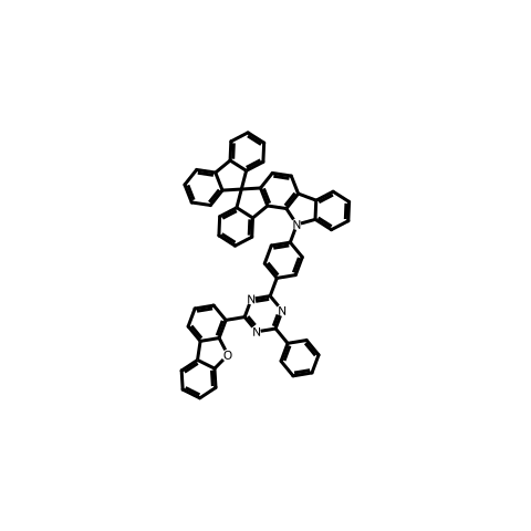 c1ccc(-c2nc(-c3ccc(-n4c5ccccc5c5ccc6c(c54)-c4ccccc4C64c5ccccc5-c5ccccc54)cc3)nc(-c3cccc4c3oc3ccccc34)n2)cc1